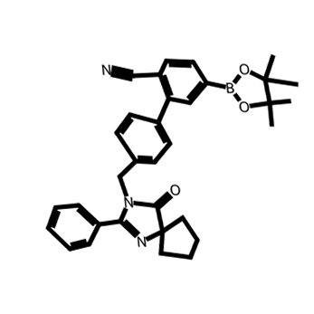 CC1(C)OB(c2ccc(C#N)c(-c3ccc(CN4C(=O)C5(CCCC5)N=C4c4ccccc4)cc3)c2)OC1(C)C